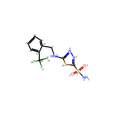 NS(=O)(=O)c1nnc(NCc2ccccc2C(F)(F)F)s1